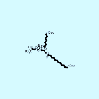 CCCCCCCCCC/C=C\CCCCCCCCCC(=O)OC[C@H](COP(=O)(O)OC[C@H](N)C(=O)O)OC(=O)CCCCCCCCCCCCCCCC